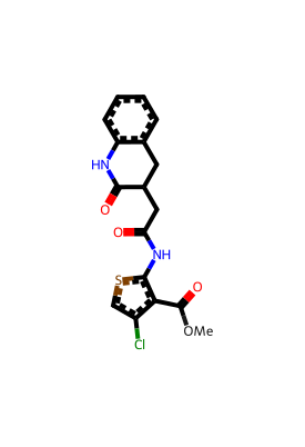 COC(=O)c1c(Cl)csc1NC(=O)CC1Cc2ccccc2NC1=O